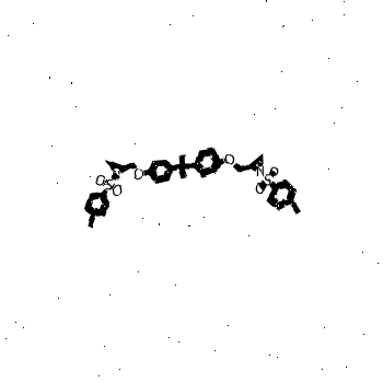 Cc1ccc(S(=O)(=O)N2CC2COc2ccc(C(C)(C)c3ccc(OCC4CN4S(=O)(=O)c4ccc(C)cc4)cc3)cc2)cc1